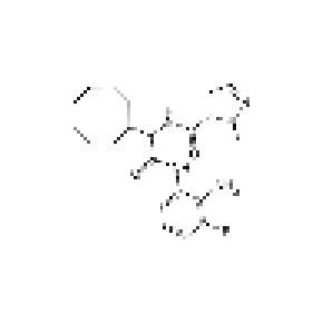 Cn1nccc1C(=O)NC(C(=O)Nc1cccc(F)c1N)C1CCCCCCC1